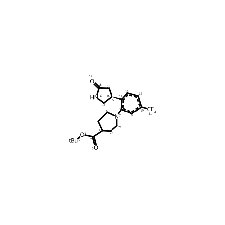 CC(C)(C)OC(=O)C1CCN(c2cc(C(F)(F)F)ccc2[C@H]2CNC(=O)C2)CC1